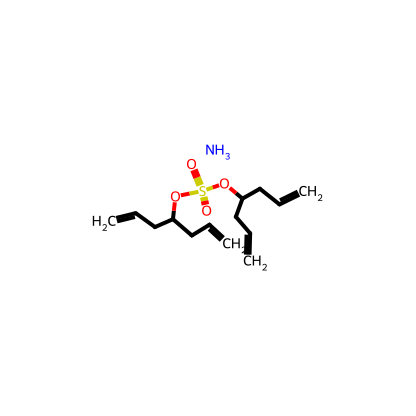 C=CCC(CC=C)OS(=O)(=O)OC(CC=C)CC=C.N